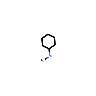 [CH2]C(=O)NC1CCCCC1